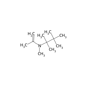 C=C(C)N(C)C(C)(C)C(C)(C)C